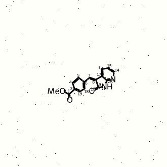 COC(=O)c1ccc(C=C2C(=O)Nc3ncccc32)cc1